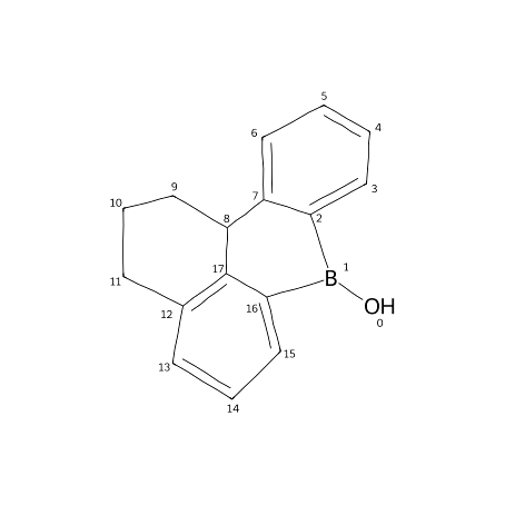 OB1c2ccccc2C2CCCc3cccc1c32